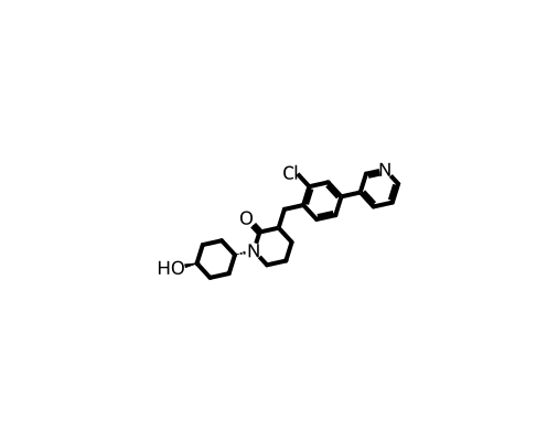 O=C1C(Cc2ccc(-c3cccnc3)cc2Cl)CCCN1[C@H]1CC[C@H](O)CC1